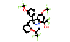 OC(CN(CC(O)C(F)(F)F)CC(Cc1ccccc1)(c1cccc(OC(F)(F)F)c1)c1cccc(OC(F)(F)F)c1)C(F)(F)F